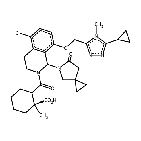 Cn1c(COc2ccc(Cl)c3c2C(N2CC4(CC4)CC2=O)N(C(=O)C2CCCC[C@]2(C)C(=O)O)CC3)nnc1C1CC1